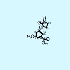 COC(=O)c1cc(O)cc(O[C@]2(C)CCNC2=O)c1